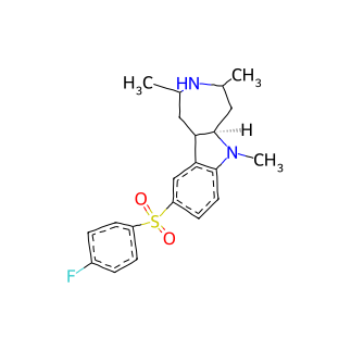 CC1CC2c3cc(S(=O)(=O)c4ccc(F)cc4)ccc3N(C)[C@@H]2CC(C)N1